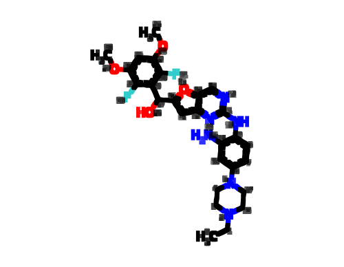 CCN1CCN(c2ccc(Nc3ncc4oc(C(O)c5c(F)c(OC)cc(OC)c5F)cc4n3)c(N)c2)CC1